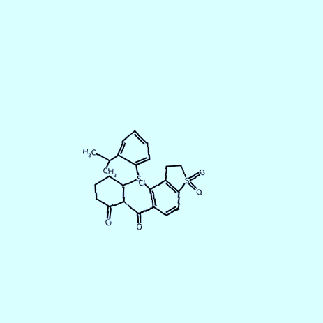 CC(C)c1ccccc1SC1CCCC(=O)C1C(=O)c1ccc2c(c1Cl)CCS2(=O)=O